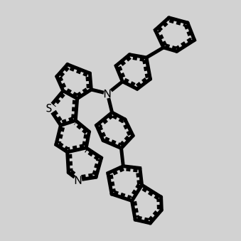 c1ccc(-c2ccc(N(c3ccc(-c4ccc5ccccc5c4)cc3)c3cccc4sc5cc6cnccc6cc5c34)cc2)cc1